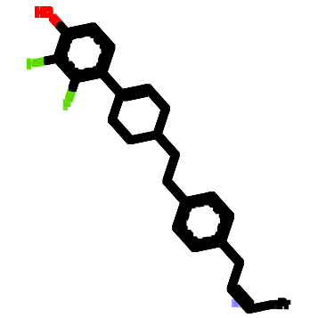 CCC/C=C\Cc1ccc(CCC2CC=C(c3ccc(O)c(F)c3F)CC2)cc1